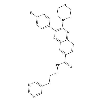 O=C(NCCCc1cncnc1)c1ccc2nc(N3CCOCC3)c(-c3ccc(F)cc3)nc2c1